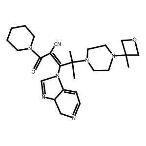 CC1(N2CCN(C(C)(C)C(=C(C#N)C(=O)N3CCCCC3)N3C=NC4CN=CC=C43)CC2)COC1